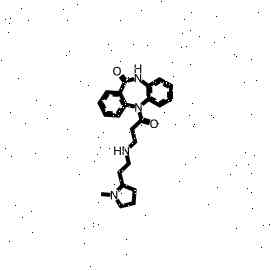 CN1CCCC1CCNCCC(=O)N1c2ccccc2NC(=O)c2ccccc21